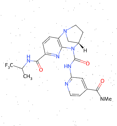 CNC(=O)c1ccnc(NC(=O)N2c3nc(C(=O)NC(C)C(F)(F)F)ccc3N3CC[C@H]2C3)c1